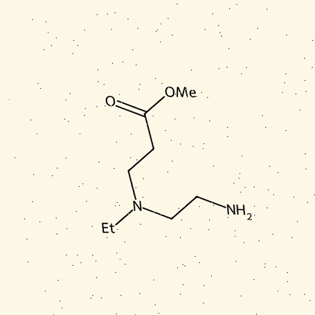 CCN(CCN)CCC(=O)OC